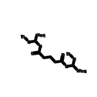 CCCCCC(OCC)OC(=O)CCCC(=O)OC(CCCCC)OCC